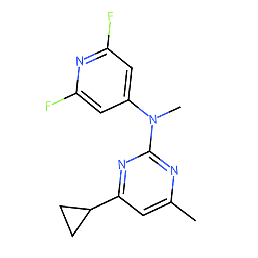 Cc1cc(C2CC2)nc(N(C)c2cc(F)nc(F)c2)n1